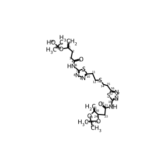 C=C(CCC(=O)Nc1nnc(CCSCCc2nnc(NC(=O)CC3OC(C)(C)OC3=C)s2)s1)OC(C)(C)O